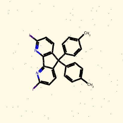 Cc1ccc(C2(c3ccc(C)cc3)c3ccc(I)nc3-c3nc(I)ccc32)cc1